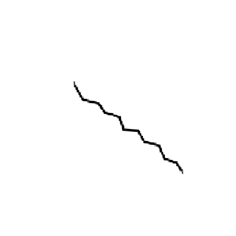 ICCCCCCCCCCI